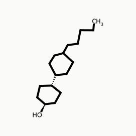 CCCCCC1CCC([C@H]2CC[C@H](O)CC2)CC1